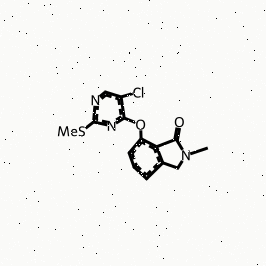 CSc1ncc(Cl)c(Oc2cccc3c2C(=O)N(C)C3)n1